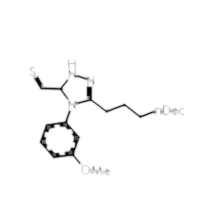 CCCCCCCCCCCCCC1=NNC(C=S)N1c1cccc(OC)c1